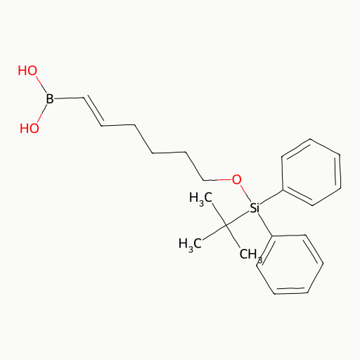 CC(C)(C)[Si](OCCCC/C=C/B(O)O)(c1ccccc1)c1ccccc1